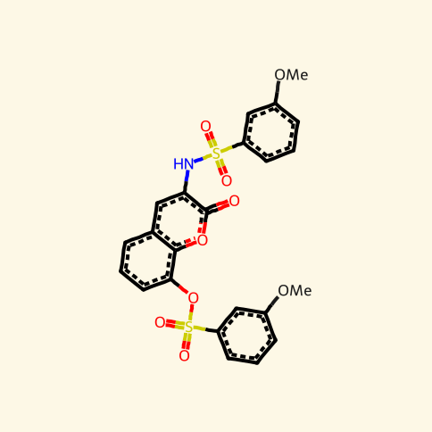 COc1cccc(S(=O)(=O)Nc2cc3cccc(OS(=O)(=O)c4cccc(OC)c4)c3oc2=O)c1